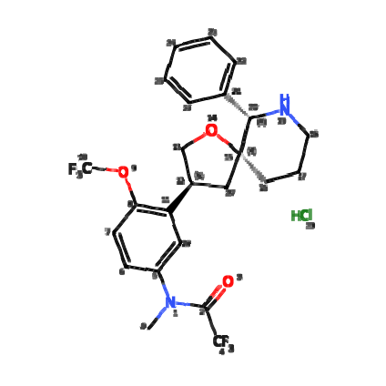 CN(C(=O)C(F)(F)F)c1ccc(OC(F)(F)F)c([C@H]2CO[C@]3(CCCN[C@H]3c3ccccc3)C2)c1.Cl